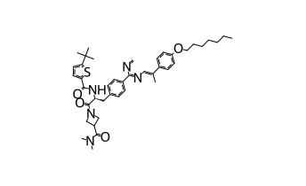 C=N/C(=N\C=C(/C)c1ccc(OCCCCCCC)cc1)c1ccc(C[C@H](NC(=O)c2ccc(C(C)(C)C)s2)C(=O)N2CC(C(=O)N(C)C)C2)cc1